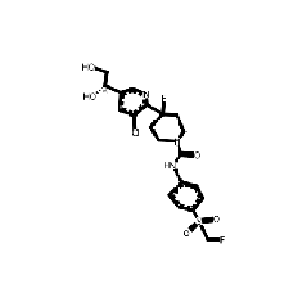 O=C(Nc1ccc(S(=O)(=O)CF)cc1)N1CCC(F)(c2ncc([C@H](O)CO)cc2Cl)CC1